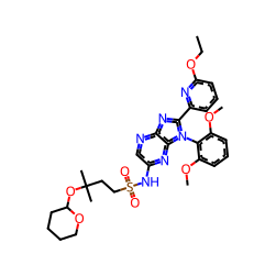 CCOc1cccc(-c2nc3ncc(NS(=O)(=O)CCC(C)(C)OC4CCCCO4)nc3n2-c2c(OC)cccc2OC)n1